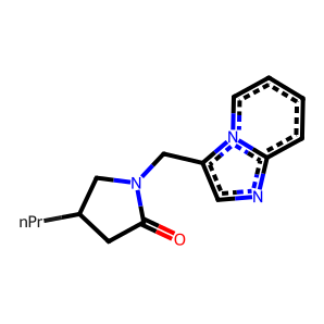 CCCC1CC(=O)N(Cc2cnc3ccccn23)C1